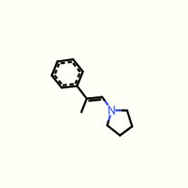 CC(=CN1CCCC1)c1ccccc1